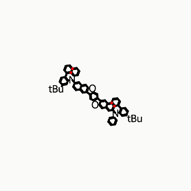 CC(C)(C)c1ccc(-c2ccccc2)c(N(c2ccccc2)c2ccc3cc4c(cc3c2)oc2cc3c(cc24)oc2cc4cc(N(c5ccccc5)c5cc(C(C)(C)C)ccc5-c5ccccc5)ccc4cc23)c1